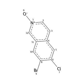 [O-][n+]1ccc2cc(Cl)c(Br)cc2c1